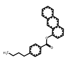 CCCCc1ccc(C(=O)Oc2cccc3cc4ccccc4cc23)cc1